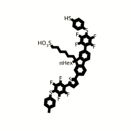 CCCCCCC1(CCCCCCS(=O)(=O)O)c2cc(-c3ccc(-c4c(F)c(F)c(Sc5ccc(C)cc5)c(F)c4F)s3)ccc2-c2ccc(-c3c(F)c(F)c(Sc4ccc(S)cc4)c(F)c3F)cc21